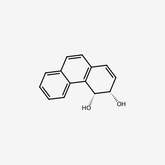 O[C@@H]1c2c(ccc3ccccc23)C=C[C@@H]1O